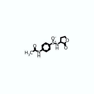 CC(=O)Nc1ccc([S+]([O-])NC2CCOC2=O)cc1